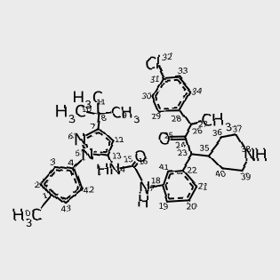 Cc1ccc(-n2nc(C(C)(C)C)cc2NC(=O)Nc2cccc(C(C(=O)C(C)c3ccc(Cl)cc3)C3CCNCC3)c2)cc1